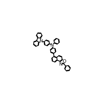 c1ccc(-c2nc3c(ccc4c(-c5ccc(N(c6ccccc6)c6ccc(-n7c8ccccc8c8ccccc87)cc6)cc5)cccc43)o2)cc1